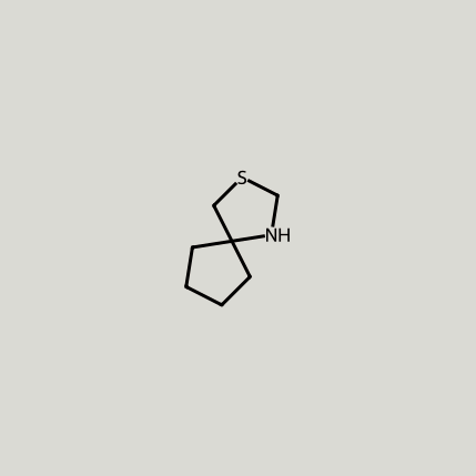 C1CCC2(C1)CSCN2